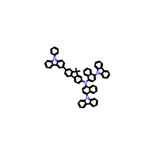 CC1(C)c2cc(-c3ccc4c(c3)c3ccccc3n4-c3ccccc3)ccc2-c2ccc(N(c3ccc(-n4c5ccccc5c5ccccc54)c4ccccc34)c3ccc(-n4c5ccccc5c5ccccc54)c4ccccc34)cc21